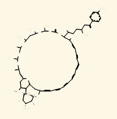 CNc1ccc(C(=O)CC(O)CCC(C)C2OC(=O)CC(O)CC(O)CC(O)CC(O)CC(O)CC(O)CC3(O)CC(O)C(C(=O)O)C(CC(O[C@@H]4O[C@H](C)[C@@H](O)[C@H](N)[C@@H]4O)\C=C/C=C\C=C/C=C\C=C/C=C\C=C/C2C)O3)cc1